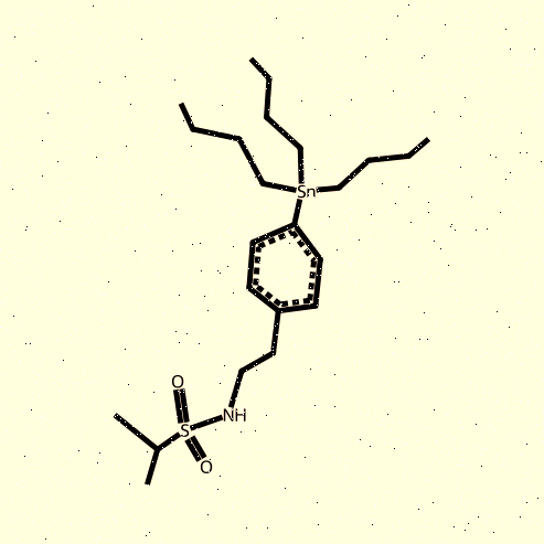 CCC[CH2][Sn]([CH2]CCC)([CH2]CCC)[c]1ccc(CCNS(=O)(=O)C(C)C)cc1